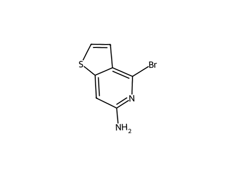 Nc1cc2sccc2c(Br)n1